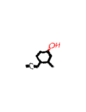 C=C=CC1CCC(O)CC1C